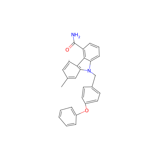 Cc1c[c]c2c3c(C(N)=O)cccc3n(Cc3ccc(Oc4ccccc4)cc3)c2c1